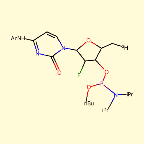 [2H]CC1OC(n2ccc(NC(C)=O)nc2=O)C(F)C1OP(OCCCC)N(C(C)C)C(C)C